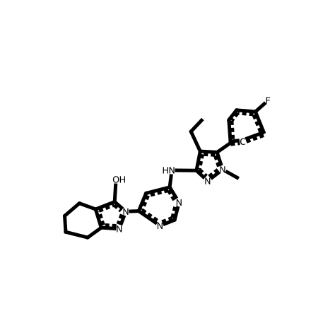 CCc1c(Nc2cc(-n3nc4c(c3O)CCCC4)ncn2)nn(C)c1-c1ccc(F)cc1